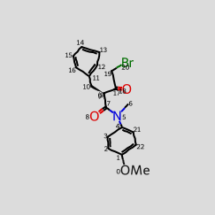 COc1ccc(N(C)C(=O)[C@@H](Cc2ccccc2)C(=O)CBr)cc1